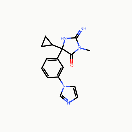 CN1C(=N)NC(c2cccc(-n3ccnc3)c2)(C2CC2)C1=O